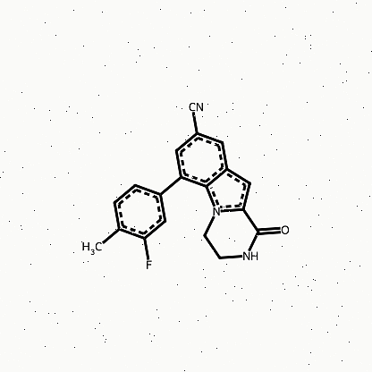 Cc1ccc(-c2cc(C#N)cc3cc4n(c23)CCNC4=O)cc1F